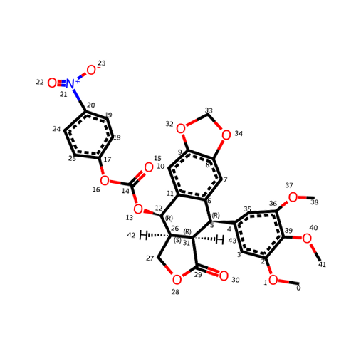 COc1cc([C@@H]2c3cc4c(cc3[C@H](OC(=O)Oc3ccc([N+](=O)[O-])cc3)[C@@H]3COC(=O)[C@H]23)OCO4)cc(OC)c1OC